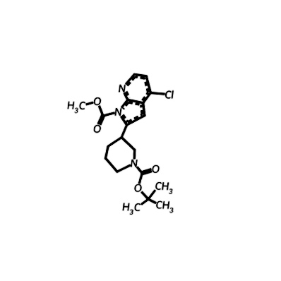 COC(=O)n1c(C2CCCN(C(=O)OC(C)(C)C)C2)cc2c(Cl)ccnc21